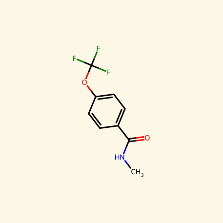 CNC(=O)c1ccc(OC(F)(F)F)cc1